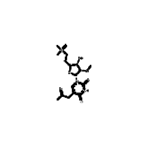 C=P(C)(C)CCC1O[C@@H](n2cc(CC(C)=O)c(=O)[nH]c2=S)[C@H](OC)[C@@H]1O